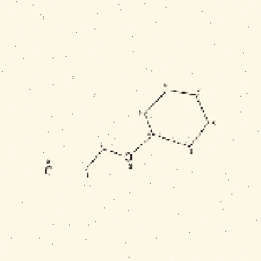 ClCCOC1CC[CH]CC1